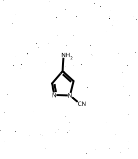 N#Cn1cc(N)cn1